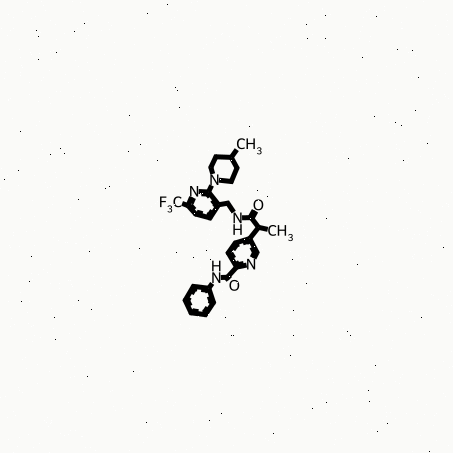 CC1CCN(c2nc(C(F)(F)F)ccc2CNC(=O)C(C)c2ccc(C(=O)Nc3ccccc3)nc2)CC1